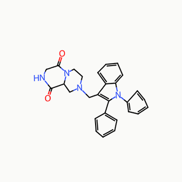 O=C1NCC(=O)N2CCN(Cc3c(-c4ccccc4)n(-c4ccccc4)c4ccccc34)CC12